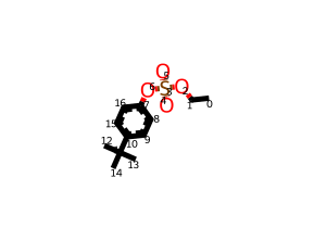 CCOS(=O)(=O)Oc1ccc(C(C)(C)C)cc1